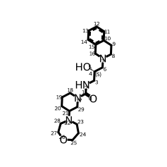 O=C(NC[C@H](O)CN1CCc2ccccc2C1)N1CCCC(N2CCCOCC2)C1